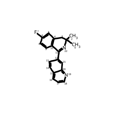 CC1(C)Cc2cc(F)ccc2C(c2ccc3cccnc3c2)=N1